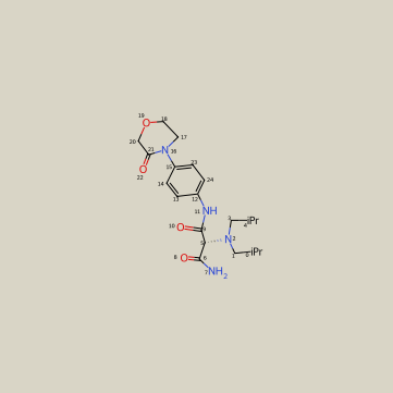 CC(C)CN(CC(C)C)[C@H](C(N)=O)C(=O)Nc1ccc(N2CCOCC2=O)cc1